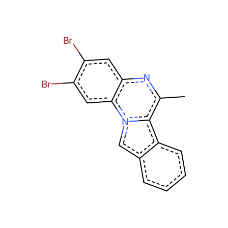 Cc1nc2cc(Br)c(Br)cc2n2cc3ccccc3c12